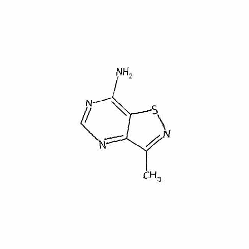 Cc1nsc2c(N)ncnc12